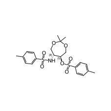 Cc1ccc(S(=O)(=O)N[C@@H]2COC(C)(C)OC[C@H]2OS(=O)(=O)c2ccc(C)cc2)cc1